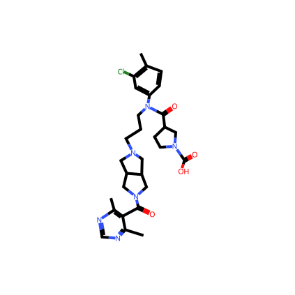 Cc1ccc(N(CCCN2CC3CN(C(=O)c4c(C)ncnc4C)CC3C2)C(=O)C2CCN(C(=O)O)C2)cc1Cl